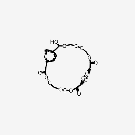 O=C1OCCCCOC(=O)c2ccc(cc2)C(O)OCCCCOC(=O)c2ccc1cc2